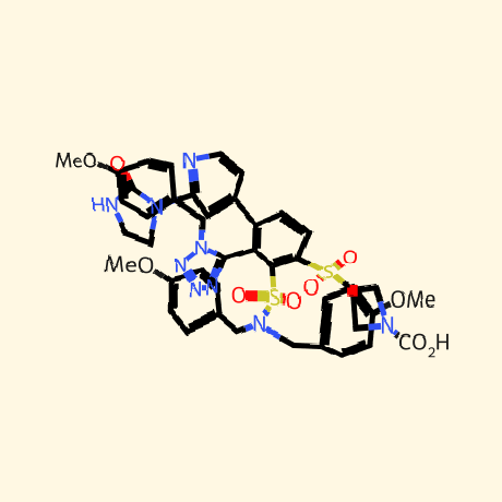 COc1ccc(CN(Cc2ccc(OC)cc2)S(=O)(=O)c2c(S(=O)(=O)C3CN(C(=O)O)C3)ccc(-c3ccnc(N4CCNC4=O)c3)c2-c2nnnn2Cc2ccc(OC)cc2)cc1